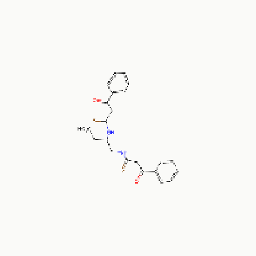 O=C(O)CC(CNC(=S)CC(=O)c1ccccc1)NC(=S)CC(=O)c1ccccc1